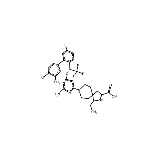 CCC1NC(C(=O)O)CC12CCN(c1cc(O[C@H](c3ccc(Cl)cc3-c3ccc(Cl)c(C)c3)C(F)(F)F)nc(N)n1)CC2